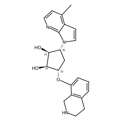 Cc1ccnc2c1ccn2[C@@H]1C[C@H](Oc2cccc3c2CNCC3)[C@@H](O)[C@H]1O